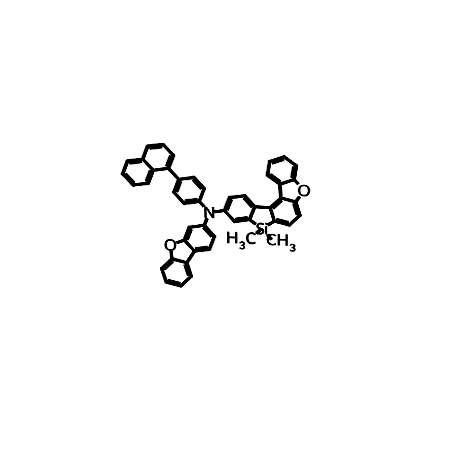 C[Si]1(C)c2cc(N(c3ccc(-c4cccc5ccccc45)cc3)c3ccc4c(c3)oc3ccccc34)ccc2-c2c1ccc1oc3ccccc3c21